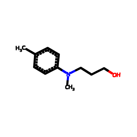 Cc1ccc(N(C)CCCO)cc1